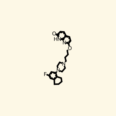 O=c1ccc2ccc(OCCCCN3CCN(c4cc(F)cc5c4CCCC5)CC3)nc2[nH]1